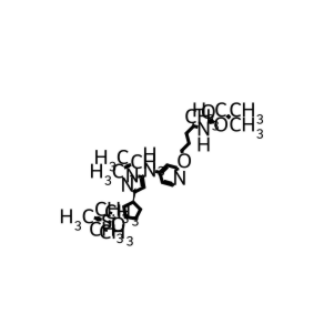 C[C@@H](CCCOc1cc(Nc2cc([C@H]3CC[C@@H](O[Si](C)(C)C(C)(C)C)C3)nn2C(C)(C)C)ccn1)NC(=O)OC(C)(C)C